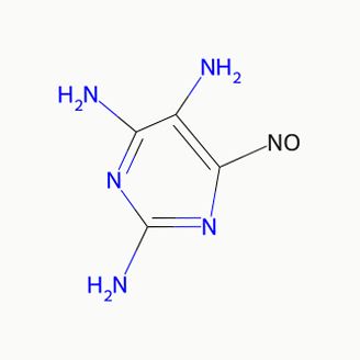 Nc1nc(N)c(N)c(N=O)n1